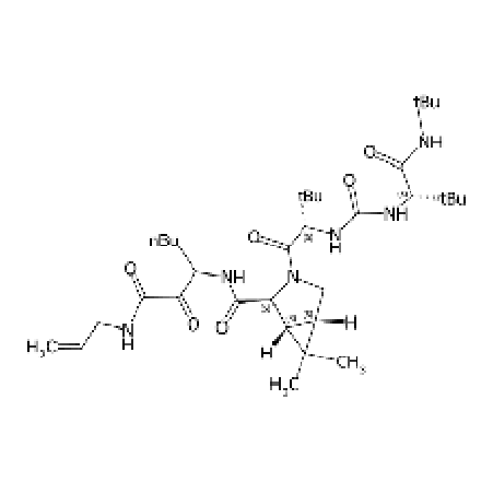 C=CCNC(=O)C(=O)C(CCCC)NC(=O)[C@@H]1[C@@H]2[C@H](CN1C(=O)[C@@H](NC(=O)N[C@H](C(=O)NC(C)(C)C)C(C)(C)C)C(C)(C)C)C2(C)C